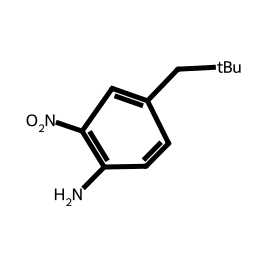 CC(C)(C)Cc1ccc(N)c([N+](=O)[O-])c1